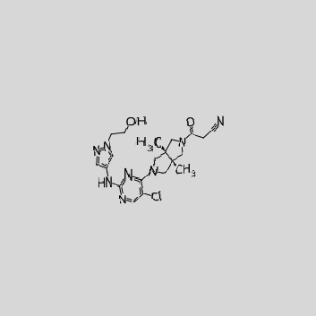 C[C@@]12CN(C(=O)CC#N)C[C@]1(C)CN(c1nc(Nc3cnn(CCO)c3)ncc1Cl)C2